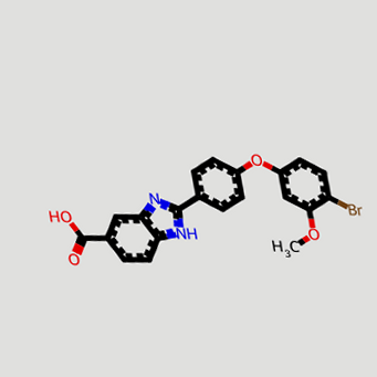 COc1cc(Oc2ccc(-c3nc4cc(C(=O)O)ccc4[nH]3)cc2)ccc1Br